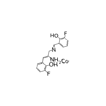 NC(=Cc1cccc(F)c1O)CN=Cc1cccc(F)c1O.[Co]